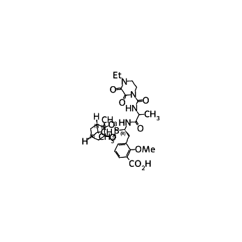 CCN1CCN(C(=O)NC(C)C(=O)N[C@@H](Cc2cccc(C(=O)O)c2OC)B2OC3C[C@@H]4C[C@@H](C4(C)C)[C@]3(C)O2)C(=O)C1=O